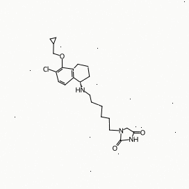 O=C1CN(CCCCCCN[C@@H]2CCCc3c2ccc(Cl)c3OCC2CC2)C(=O)N1